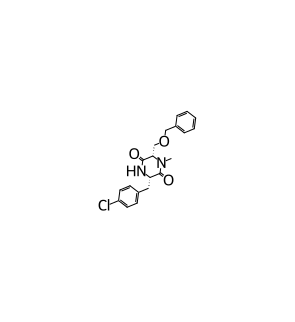 CN1C(=O)[C@H](Cc2ccc(Cl)cc2)NC(=O)[C@@H]1COCc1ccccc1